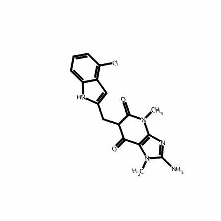 CN1C(=O)C(Cc2cc3c(Cl)cccc3[nH]2)C(=O)c2c1nc(N)n2C